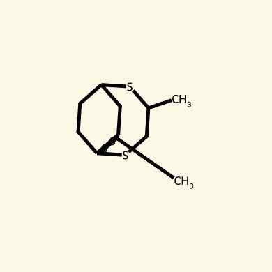 CC1CSC23CCC(CC2SC(C)CS3)S1